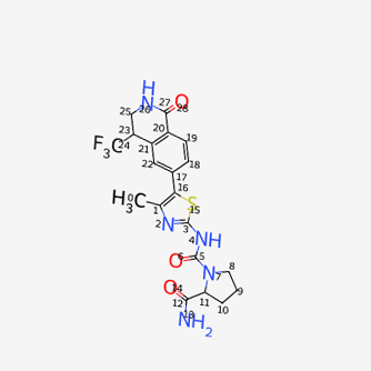 Cc1nc(NC(=O)N2CCCC2C(N)=O)sc1-c1ccc2c(c1)C(C(F)(F)F)CNC2=O